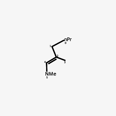 CCCC/C(C)=C/NC